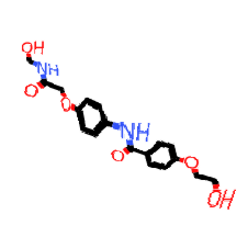 O=C(COc1ccc(NC(=O)c2ccc(OCCO)cc2)cc1)NCO